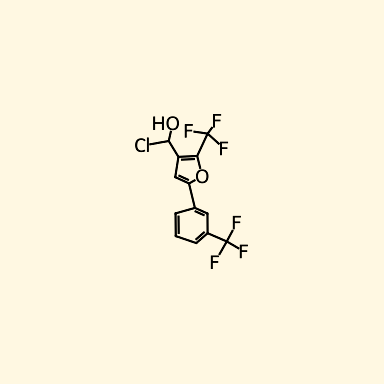 OC(Cl)c1cc(-c2cccc(C(F)(F)F)c2)oc1C(F)(F)F